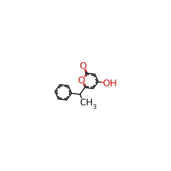 CC(c1ccccc1)c1cc(O)cc(=O)o1